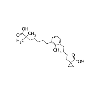 Cc1c(CCCCCC(C)(C)C(=O)O)cccc1CCCCC1(C(=O)O)CC1